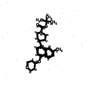 Cc1ccc2c(OC3CCOCC3)ccc(C3CCN(C(=O)OC(C)(C)C)CC3)c2c1